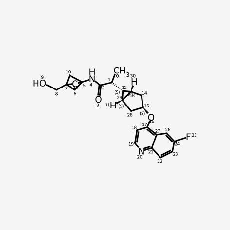 CC(C(=O)NC12CC(CO)(C1)C2)[C@@H]1[C@@H]2C[C@@H](Oc3ccnc4ccc(F)cc34)C[C@@H]21